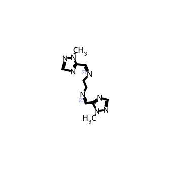 Cn1ncnc1/C=N\CC/N=C\c1ncnn1C